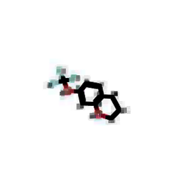 FC(F)(F)Oc1ccc2c(c1)OCCC2